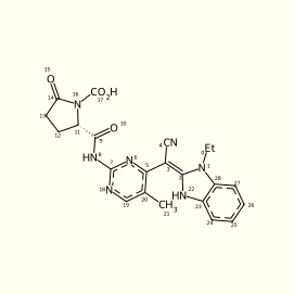 CCN1/C(=C(\C#N)c2nc(NC(=O)[C@@H]3CCC(=O)N3C(=O)O)ncc2C)Nc2ccccc21